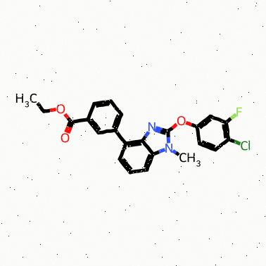 CCOC(=O)c1cccc(-c2cccc3c2nc(Oc2ccc(Cl)c(F)c2)n3C)c1